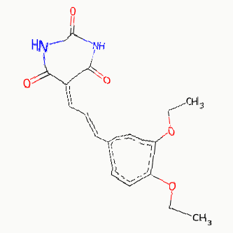 CCOc1ccc(/C=C/C=C2C(=O)NC(=O)NC2=O)cc1OCC